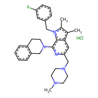 Cc1c(C)n(Cc2cccc(F)c2)c2c(N3CCc4ccccc4C3)nc(CN3CCN(C)CC3)cc12.Cl